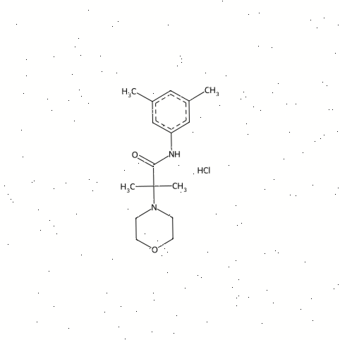 Cc1cc(C)cc(NC(=O)C(C)(C)N2CCOCC2)c1.Cl